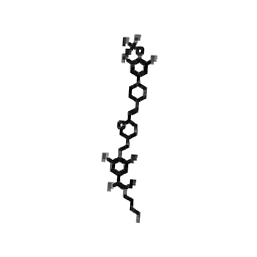 CCCCC/C(F)=C(\F)c1cc(F)c(CCC2CCC(/C=C/C3CCC(c4cc(F)c(OC(F)(F)F)c(F)c4)CC3)OC2)c(F)c1